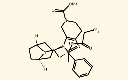 COC(=O)N1CCc2nc(C)n([C@H]3C[C@H]4CC[C@@H](C3)N4CC[C@H](NC(=O)CC(F)(F)F)c3ccccc3)c2C1